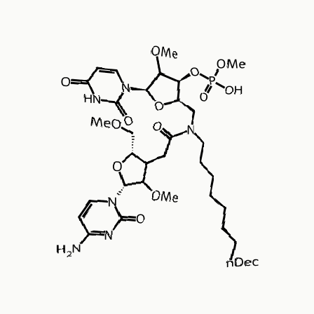 CCCCCCCCCCCCCCCCCN(C[C@H]1O[C@@H](n2ccc(=O)[nH]c2=O)C(OC)[C@H]1OP(=O)(O)OC)C(=O)CC1C(OC)[C@H](n2ccc(N)nc2=O)O[C@@H]1COC